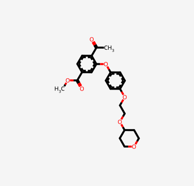 COC(=O)c1ccc(C(C)=O)c(Oc2ccc(OCCOC3CCOCC3)cc2)c1